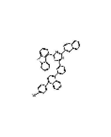 N#Cc1ccc(-c2ccc(-c3cccc(-c4nc(-c5ccc6ccccc6c5)nc(-c5cccc6oc7ccccc7c56)n4)c3)c3ccccc23)cc1